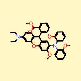 CCN(CC)c1ccc2c(c1)Oc1cc(OC)c(N(c3ccccc3OC)c3ccccc3OC)cc1C2c1ccccc1C(=O)OC